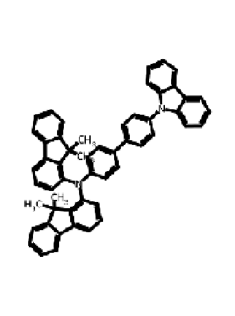 CC1(C)c2ccccc2-c2cccc(N(c3ccc(-c4ccc(-n5c6ccccc6c6ccccc65)cc4)cc3)c3cccc4c3C(C)(C)c3ccccc3-4)c21